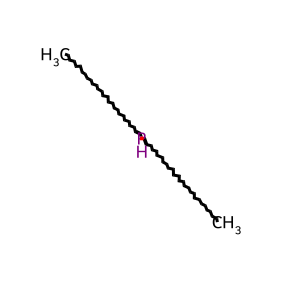 CCCCCCCCCCCCCCCCCCCCCCCCCCC=CPC=CCCCCCCCCCCCCCCCCCCCCCCCCCC